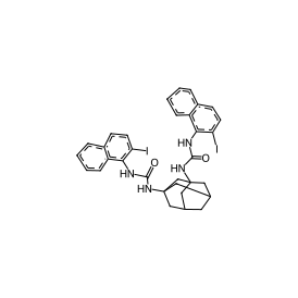 O=C(Nc1c(I)ccc2ccccc12)NC12CC3CC(C1)CC(NC(=O)Nc1c(I)ccc4ccccc14)(C3)C2